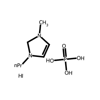 CCCN1C=CN(C)C1.I.O=P(O)(O)O